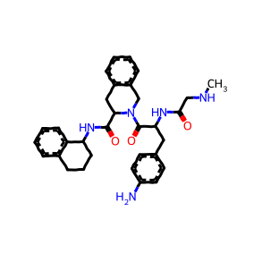 CNCC(=O)NC(Cc1ccc(N)cc1)C(=O)N1Cc2ccccc2CC1C(=O)NC1CCCc2ccccc21